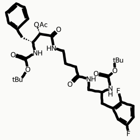 CC(=O)O[C@H](C(=O)NCCCC(=O)NCC(Cc1cc(F)ccc1F)NC(=O)OC(C)(C)C)[C@@H](Cc1ccccc1)NC(=O)OC(C)(C)C